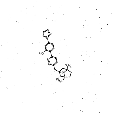 C[C@@]12CC[C@@](C)(N1)[C@H](F)[C@@H](Oc1ccc(-c3ccc(-n4ccnn4)cc3O)nn1)C2